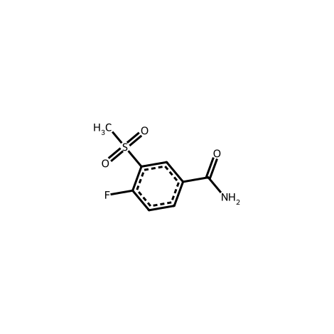 CS(=O)(=O)c1cc(C(N)=O)ccc1F